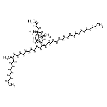 CCCCCCCCCCCCCCCCCCCCC(CCCCCCCCCCC(C)CCCCCCCCC)N(C)CC(C)(C)CC(C)(N)CCCC